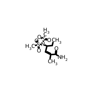 CCC(C=C(C)C(N)=O)N(S(C)(=O)=O)S(C)(=O)=O